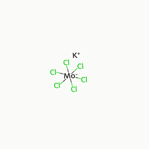 [Cl][Mo-]([Cl])([Cl])([Cl])([Cl])[Cl].[K+]